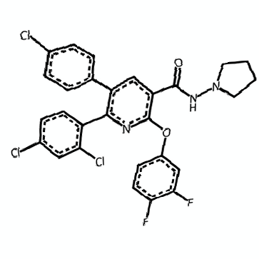 O=C(NN1CCCC1)c1cc(-c2ccc(Cl)cc2)c(-c2ccc(Cl)cc2Cl)nc1Oc1ccc(F)c(F)c1